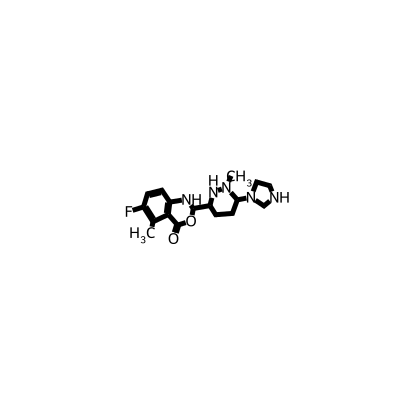 Cc1c(F)ccc2c1C(=O)OC(C1CCC(N3CCNC3)N(C)N1)N2